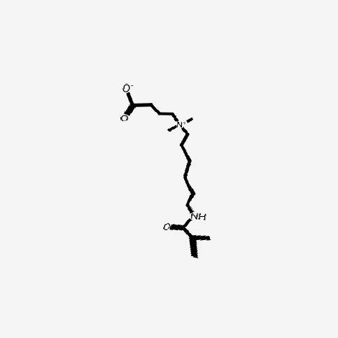 C=C(C)C(=O)NCCCCCC[N+](C)(C)CCCC(=O)[O-]